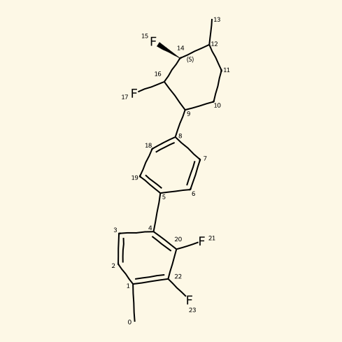 Cc1ccc(-c2ccc(C3CCC(C)[C@H](F)C3F)cc2)c(F)c1F